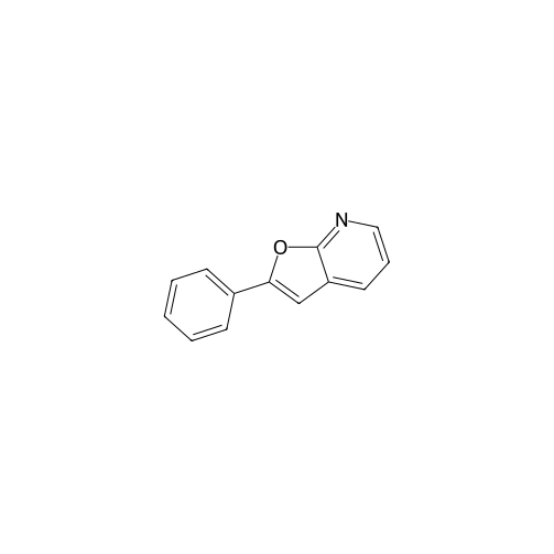 c1ccc(-c2cc3cccnc3o2)cc1